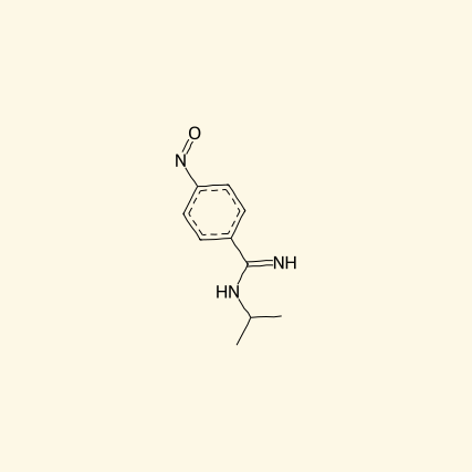 CC(C)NC(=N)c1ccc(N=O)cc1